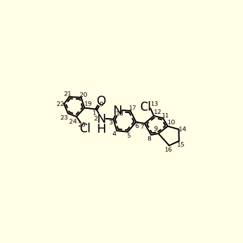 O=C(Nc1ccc(-c2cc3c(cc2Cl)CCC3)cn1)c1ccccc1Cl